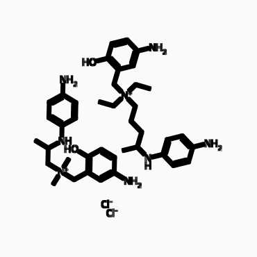 CC(C[N+](C)(C)Cc1cc(N)ccc1O)Nc1ccc(N)cc1.CC[N+](CC)(CCCC(C)Nc1ccc(N)cc1)Cc1cc(N)ccc1O.[Cl-].[Cl-]